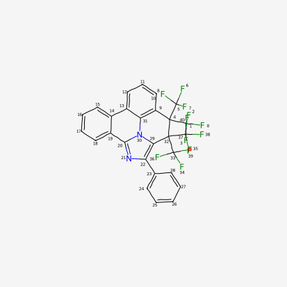 FC(F)(F)C1(C(F)(F)F)c2cccc3c4ccccc4c4nc(-c5ccccc5)c(n4c23)C1(C(F)(F)F)C(F)(F)F